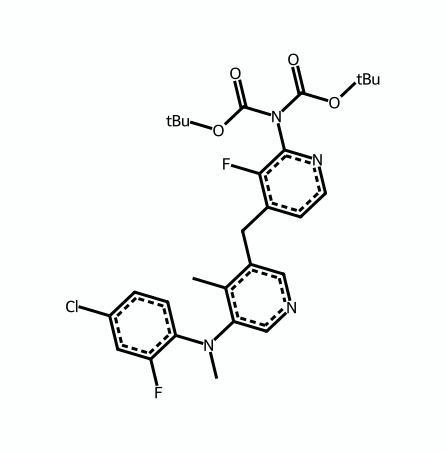 Cc1c(Cc2ccnc(N(C(=O)OC(C)(C)C)C(=O)OC(C)(C)C)c2F)cncc1N(C)c1ccc(Cl)cc1F